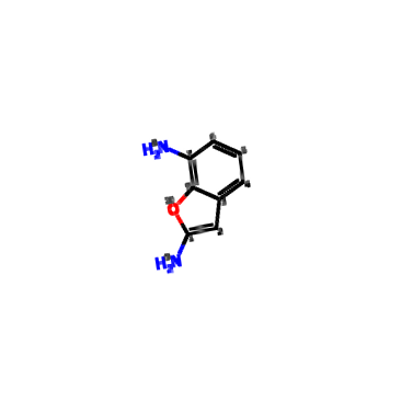 Nc1cc2cccc(N)c2o1